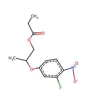 CCC(=O)OCC(C)Oc1ccc([N+](=O)[O-])c(F)c1